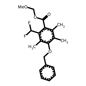 COCOC(=O)c1c(C)c(C)c(OCc2ccccc2)c(C)c1C(F)F